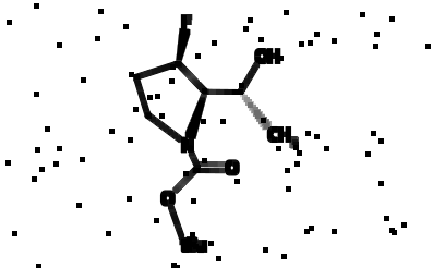 C[C@@H](O)[C@@H]1[C@H](F)CCN1C(=O)OC(C)(C)C